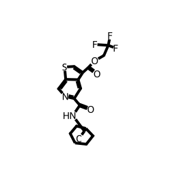 O=C(NC1CC2CCC1CC2)c1cc2c(C(=O)OCC(F)(F)F)csc2cn1